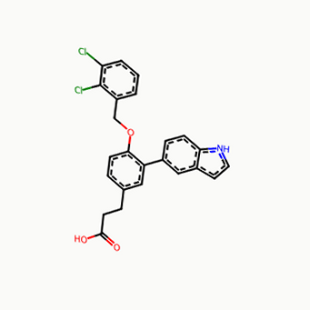 O=C(O)CCc1ccc(OCc2cccc(Cl)c2Cl)c(-c2ccc3[nH]ccc3c2)c1